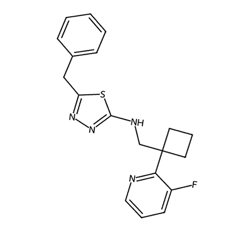 Fc1cccnc1C1(CNc2nnc(Cc3ccccc3)s2)CCC1